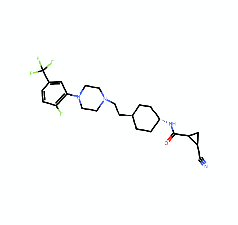 N#CC1CC1C(=O)N[C@H]1CC[C@H](CCN2CCN(c3cc(C(F)(F)F)ccc3F)CC2)CC1